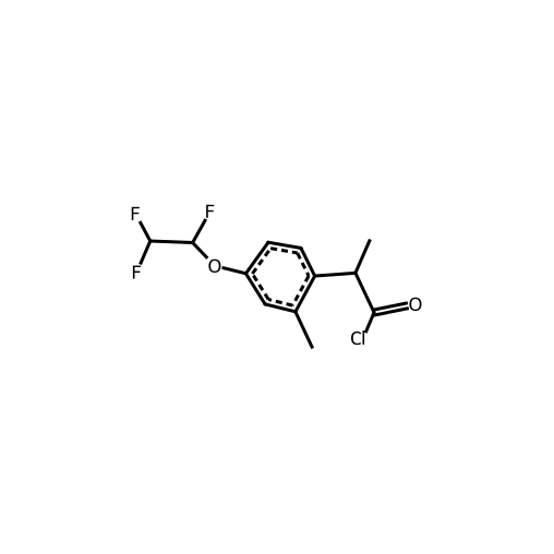 Cc1cc(OC(F)C(F)F)ccc1C(C)C(=O)Cl